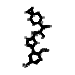 COc1ncc(C(F)(F)F)cc1-c1nnc(N[C@H](C)C(=O)N2CCC3(CC2)CC3)o1